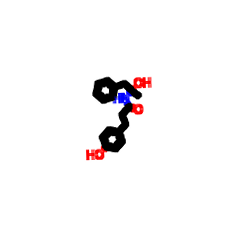 CC(O)(Cc1ccccc1)NC(=O)CCc1ccc(O)cc1